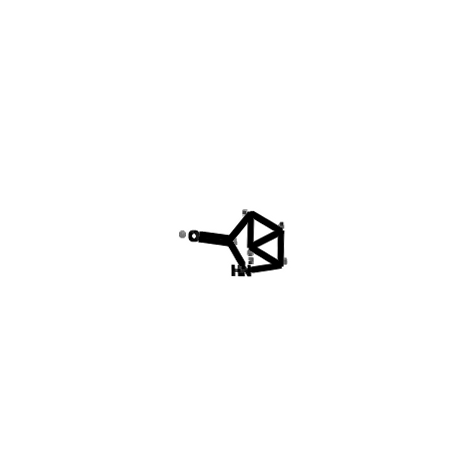 O=C1NC2C3C1C23